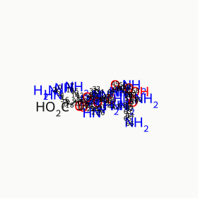 N=C(N)NCCCC(CCC(=O)[C@H](CCCCN)NC(=O)[C@H](Cc1cnc[nH]1)NC(=O)[C@@H]1CCCN1C(=O)[C@@H](CCCN)NC(=O)CNC(=O)[C@H](CN)NC(=O)[C@@H](NC(=O)[C@@H](N)CCCCN)[C@@H](O)CN)C(=O)O